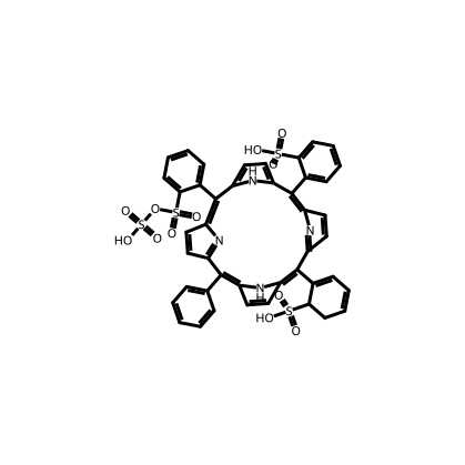 O=S(=O)(O)OS(=O)(=O)c1ccccc1-c1c2nc(c(-c3ccccc3)c3ccc([nH]3)c(C3=CC=CCC3S(=O)(=O)O)c3nc(c(-c4ccccc4S(=O)(=O)O)c4ccc1[nH]4)C=C3)C=C2